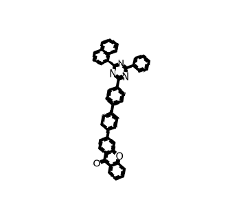 O=c1c2ccccc2oc2cc(-c3ccc(-c4ccc(-c5nc(-c6ccccc6)nc(-c6cccc7ccccc67)n5)cc4)cc3)ccc12